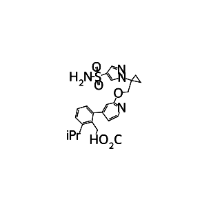 CC(C)c1cccc(-c2ccnc(OCC3(n4cc(S(N)(=O)=O)cn4)CC3)c2)c1CC(=O)O